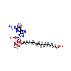 CCOP(=O)(CC[C@@H](CO)NCC1CNc2c1nc(N)[nH]c2=O)OCCCCCCCCCCCCCCCCCCCCCO